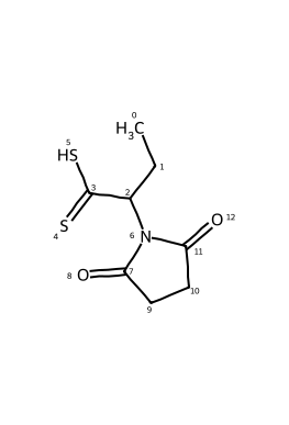 CCC(C(=S)S)N1C(=O)CCC1=O